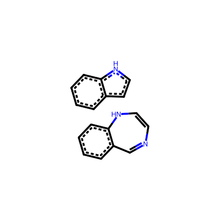 C1=CNc2ccccc2C=N1.c1ccc2[nH]ccc2c1